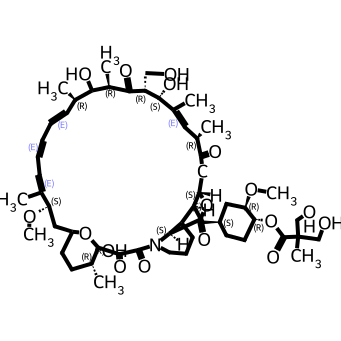 CO[C@H]1CC2CC[C@@H](C)[C@@](O)(O2)C(=O)C(=O)N2CCCC3[C@H]2C(=O)O[C@@H](CC(=O)[C@H](C)/C=C(\C)[C@@H](O)[C@@H](CO)C(=O)[C@H](C)C(O)[C@H](C)/C=C/C=C/C=C/1C)[C@H]3C[C@@H]1CC[C@@H](OC(=O)C(C)(CO)CO)[C@H](OC)C1